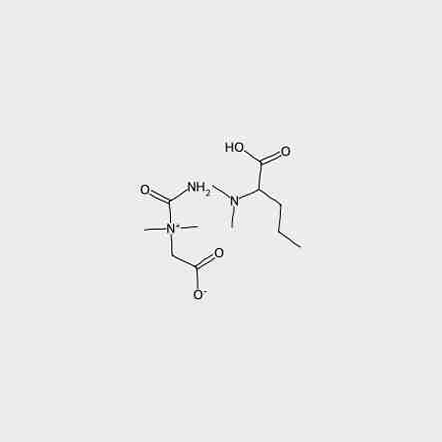 CCCC(C(=O)O)N(C)C.C[N+](C)(CC(=O)[O-])C(N)=O